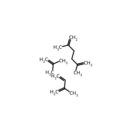 C=C(C)C.C=C(C)CCC(=C)C.C=CC(=C)C